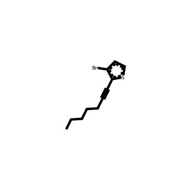 CCCCCC#Cc1sccc1Br